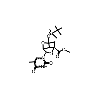 COC(=O)[C@]12CC3(O[Si](C)(C)C(C)(C)C)OC(C31)[C@H](n1cc(C)c(=O)[nH]c1=O)O2